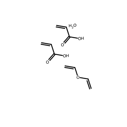 C=CC(=O)O.C=CC(=O)O.C=COC=C.O